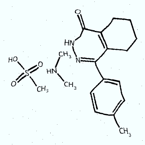 CNC.CS(=O)(=O)O.Cc1ccc(-c2n[nH]c(=O)c3c2CCCC3)cc1